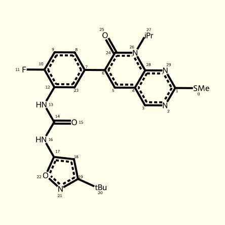 CSc1ncc2cc(-c3ccc(F)c(NC(=O)Nc4cc(C(C)(C)C)no4)c3)c(=O)n(C(C)C)c2n1